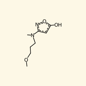 COCCCN(C)c1cc(O)on1